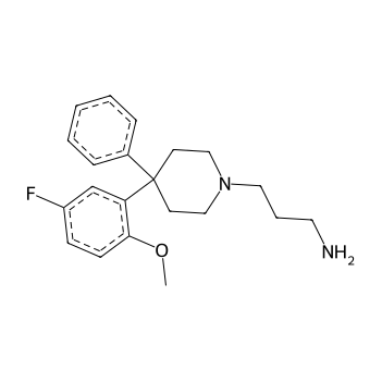 COc1ccc(F)cc1C1(c2ccccc2)CCN(CCCN)CC1